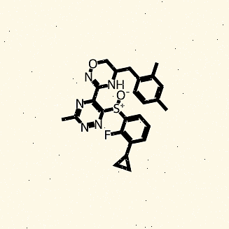 Cc1ccc(CC2CON=C(c3nc(C)nnc3[S+]([O-])c3cccc(C4CC4)c3F)N2)c(C)c1